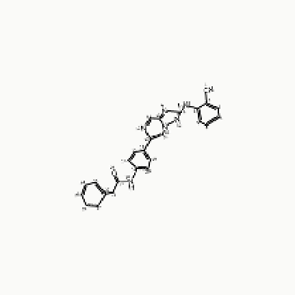 N#Cc1ccccc1Nc1nc2cnc(-c3ccc(NC(=O)Cc4ccccc4)cc3)cn2n1